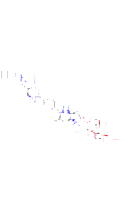 CNSc1ccc(-c2ccc(-c3nc4cc(O[C@@H]5CO[C@H]6[C@@H]5OC[C@H]6O)[nH]c4cc3F)cc2)nc1